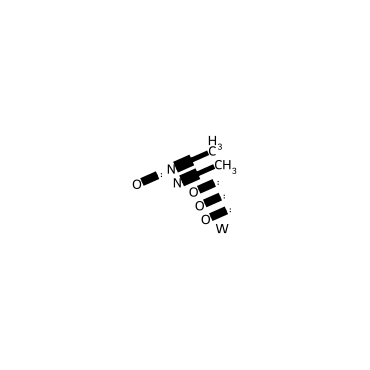 CC#N.CC#N.[C]=O.[C]=O.[C]=O.[C]=O.[W]